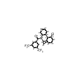 O=C(c1cc(C(F)(F)F)cc(C(F)(F)F)c1)N(c1cnccc1-c1ccccc1Cl)C1CC1